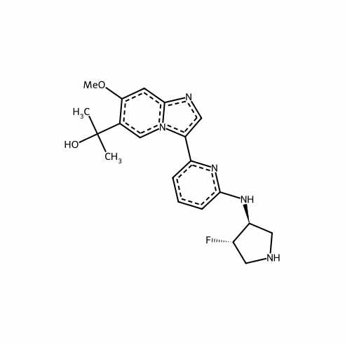 COc1cc2ncc(-c3cccc(N[C@H]4CNC[C@@H]4F)n3)n2cc1C(C)(C)O